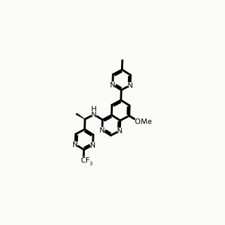 COc1cc(-c2ncc(C)cn2)cc2c(N[C@H](C)c3cnc(C(F)(F)F)nc3)ncnc12